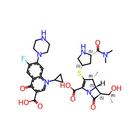 C[C@@H](O)[C@H]1C(=O)N2C(C(=O)O)=C(S[C@@H]3CN[C@H](C(=O)N(C)C)C3)[C@H](C)[C@H]12.O=C(O)c1cn(C2CC2)c2cc(N3CCNCC3)c(F)cc2c1=O